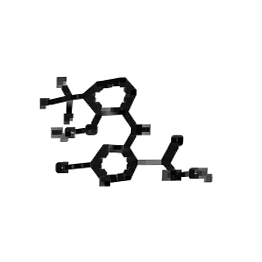 CNC(=O)c1cnc(Cl)cc1Nc1cccc(C(F)(F)F)c1OC